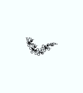 O=P([O-])([O-])[O-].O=P([O-])([O-])[O-].O=P([O-])([O-])[O-].O=P([O-])([O-])[O-].[Al+3].[Li+].[Ti+4].[Zr+4]